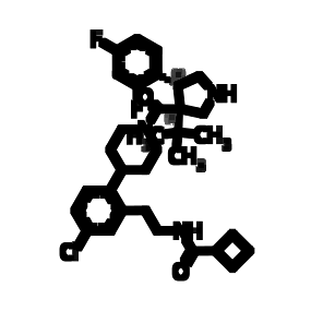 CC(C)(C)[C@]1(C(=O)N2CCC(c3ccc(Cl)cc3CCNC(=O)C3CCC3)CC2)CNC[C@H]1c1ccc(F)cc1F